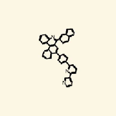 c1cncc(-c2cccc(-c3ccc(-c4cc5c(-c6ccc7ccccc7c6)nc6ccccc6c5c5ccccc45)cc3)n2)c1